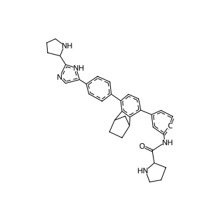 O=C(Nc1cccc(-c2ccc(-c3ccc(-c4cnc(C5CCCN5)[nH]4)cc3)c3c2C2CCC3C2)c1)C1CCCN1